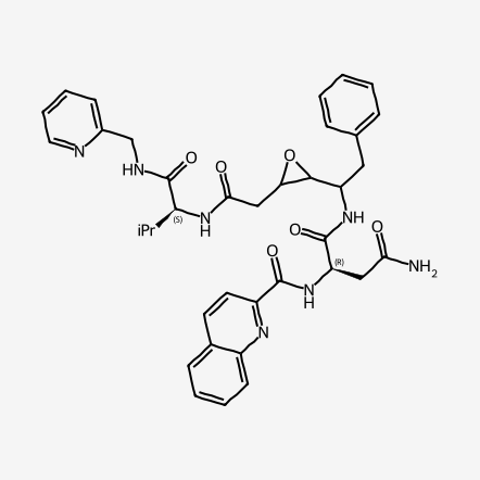 CC(C)[C@H](NC(=O)CC1OC1C(Cc1ccccc1)NC(=O)[C@@H](CC(N)=O)NC(=O)c1ccc2ccccc2n1)C(=O)NCc1ccccn1